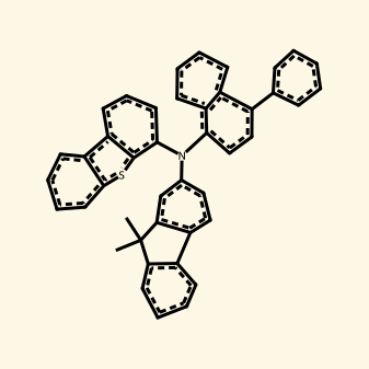 CC1(C)c2ccccc2-c2ccc(N(c3ccc(-c4ccccc4)c4ccccc34)c3cccc4c3sc3ccccc34)cc21